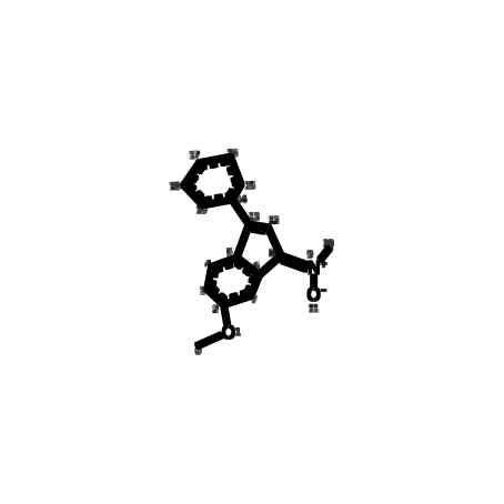 COc1ccc2c(c1)/C(=[N+](/C)[O-])C=C2c1ccccc1